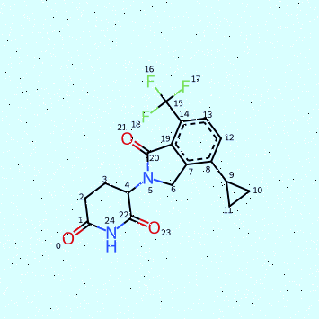 O=C1CCC(N2Cc3c(C4CC4)ccc(C(F)(F)F)c3C2=O)C(=O)N1